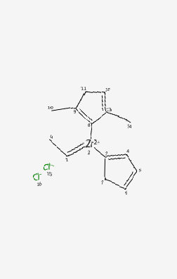 C[CH]=[Zr+2]([C]1=CC=CC1)[C]1=C(C)CC=C1C.[Cl-].[Cl-]